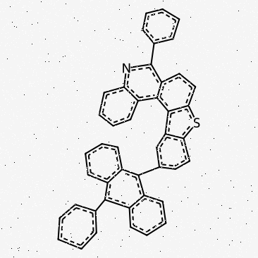 c1ccc(-c2c3ccccc3c(-c3ccc4sc5ccc6c(-c7ccccc7)nc7ccccc7c6c5c4c3)c3ccccc23)cc1